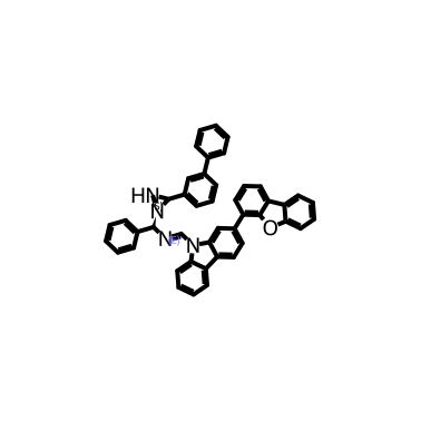 C(=N\C(c1ccccc1)[N@@]1NC1c1cccc(-c2ccccc2)c1)/n1c2ccccc2c2ccc(-c3cccc4c3oc3ccccc34)cc21